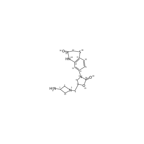 NC1CN(CC2CN(c3ccc4c(c3)NC(=O)CS4)C(=O)O2)C1